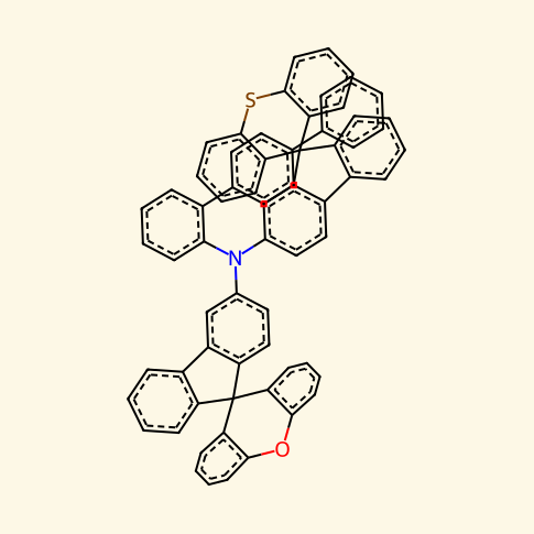 c1ccc(-c2ccc(-c3ccccc3N(c3ccc4c(c3)-c3ccccc3C43c4ccccc4Oc4ccccc43)c3ccc4c(c3)C3(c5ccccc5Sc5ccccc53)c3ccccc3-4)cc2)cc1